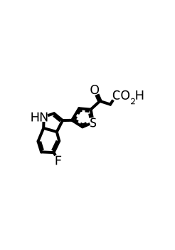 O=C(O)CC(=O)c1cc(C2=CNC3C=CC(F)=CC23)cs1